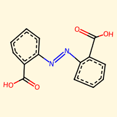 O=C(O)c1ccccc1N=Nc1ccccc1C(=O)O